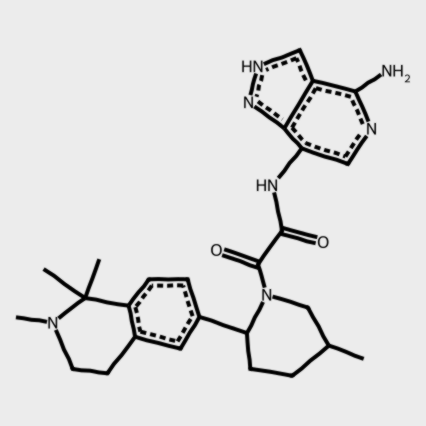 CC1CCC(c2ccc3c(c2)CCN(C)C3(C)C)N(C(=O)C(=O)Nc2cnc(N)c3c[nH]nc23)C1